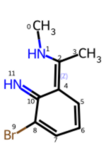 CN/C(C)=C1/C=CC=C(Br)C1=N